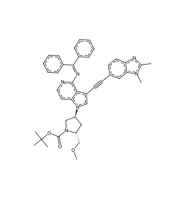 COC[C@H]1C[C@H](n2cc(C#Cc3ccc4nc(C)n(C)c4c3)c3c(N=C(c4ccccc4)c4ccccc4)nccc32)CN1C(=O)OC(C)(C)C